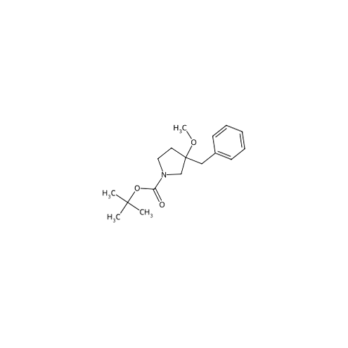 COC1(Cc2ccccc2)CCN(C(=O)OC(C)(C)C)C1